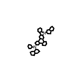 c1ccc(N(c2ccc3c(c2)c2ccccc2c2cc4c(cc32)c2ccccc2n4-c2ccc3ccccc3c2)c2cccc3ccccc23)cc1